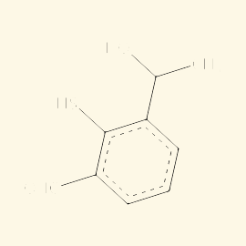 CC(O)c1cccc(C=O)c1S